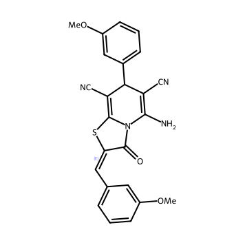 COc1cccc(/C=c2/sc3n(c2=O)C(N)=C(C#N)C(c2cccc(OC)c2)C=3C#N)c1